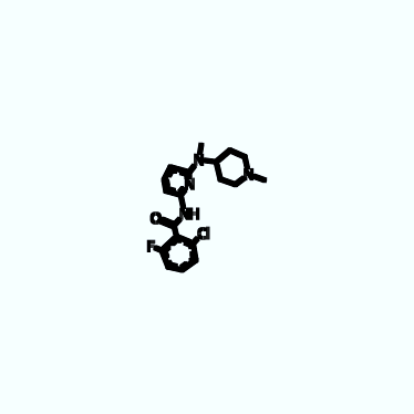 CN1CCC(N(C)c2cccc(NC(=O)c3c(F)cccc3Cl)n2)CC1